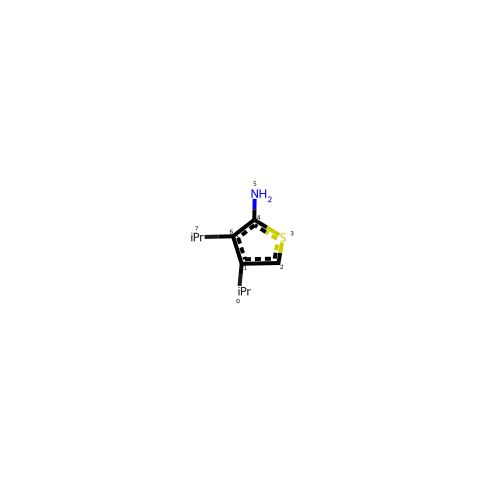 CC(C)c1csc(N)c1C(C)C